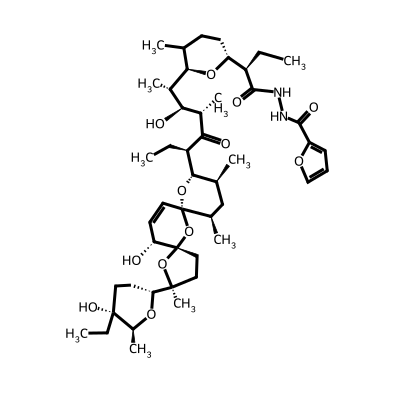 CC[C@@H](C(=O)[C@@H](C)[C@@H](O)[C@H](C)[C@@H]1O[C@@H]([C@@H](CC)C(=O)NNC(=O)c2ccco2)CCC1C)[C@H]1O[C@]2(C=C[C@@H](O)[C@]3(CC[C@@](C)([C@H]4CC[C@](O)(CC)[C@H](C)O4)O3)O2)[C@H](C)C[C@@H]1C